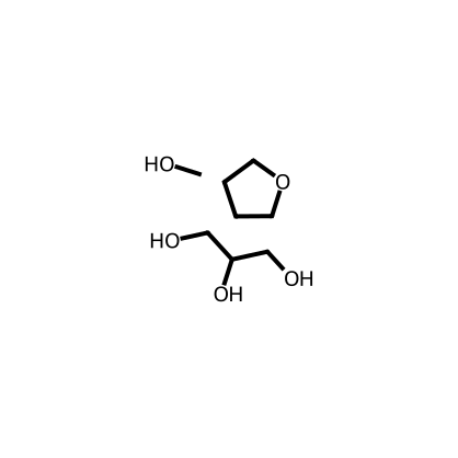 C1CCOC1.CO.OCC(O)CO